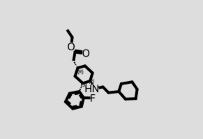 CCOC(=O)C[C@@H]1CC[C@@H](NCCC2CCCCC2)[C@H](c2ccccc2F)C1